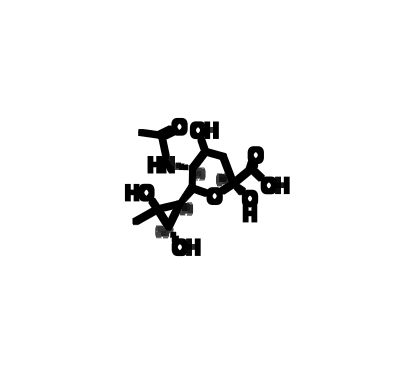 CC(=O)N[C@@H]1C(O)C[C@](O)(C(=O)O)OC1[C@H]1[C@H](O)C1(C)O